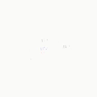 Cc1cc([N+](=O)[O-])ccc1NOC1CCCCC1